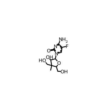 CC1(CO)C(CO)OC(n2cc(F)c(N)nc2=O)C1O